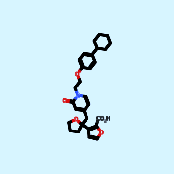 O=C(O)c1occc1C1(Cc2ccn(CCOc3ccc(C4CCCCC4)cc3)c(=O)c2)CCCO1